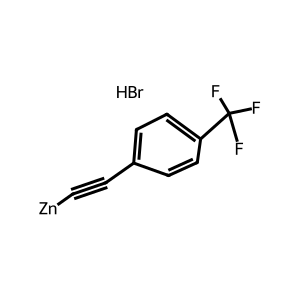 Br.FC(F)(F)c1ccc(C#[C][Zn])cc1